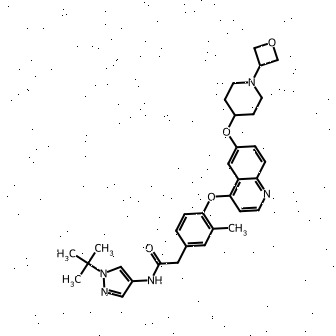 Cc1cc(CC(=O)Nc2cnn(C(C)(C)C)c2)ccc1Oc1ccnc2ccc(OC3CCN(C4COC4)CC3)cc12